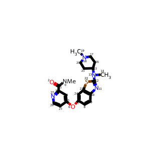 CNC(=O)c1cc(Oc2ccc3nc(N(C)C4CCN(C)CC4)sc3c2)ccn1